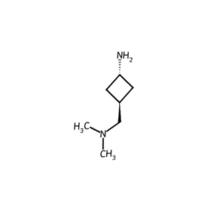 CN(C)C[C@H]1C[C@H](N)C1